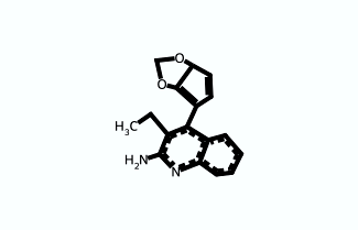 CCc1c(N)nc2ccccc2c1C1=C2OCOC2C=C1